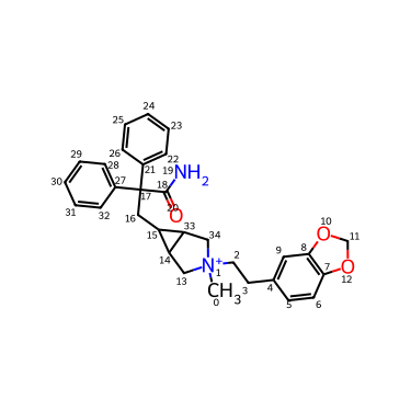 C[N+]1(CCc2ccc3c(c2)OCO3)CC2C(CC(C(N)=O)(c3ccccc3)c3ccccc3)C2C1